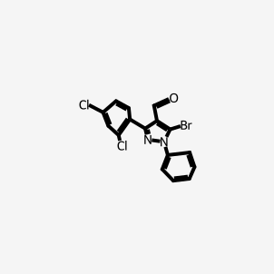 O=Cc1c(-c2ccc(Cl)cc2Cl)nn(-c2ccccc2)c1Br